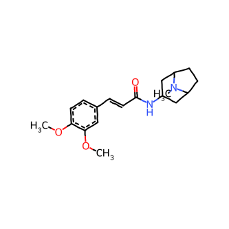 COc1ccc(C=CC(=O)NC2CC3CCC(C2)N3C)cc1OC